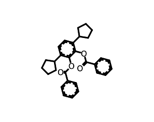 O=C(Oc1c(C2CCCC2)ccc(C2CCCC2)c1OC(=O)c1ccccc1)c1ccccc1